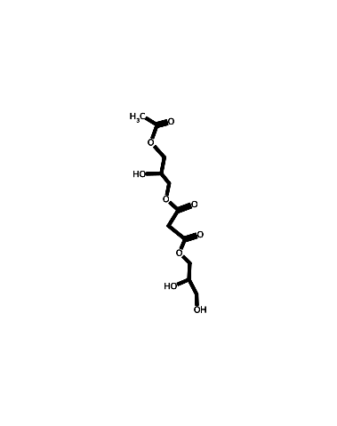 CC(=O)OCC(O)COC(=O)CC(=O)OCC(O)CO